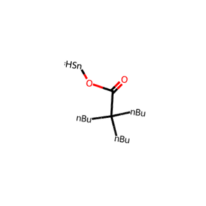 CCCCC(CCCC)(CCCC)C(=O)[O][SnH]